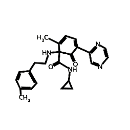 CC1=CC=C(c2cnccn2)C(=O)C1(NCCc1ccc(C)cc1)C(=O)NC1CC1